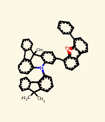 CC1(C)c2ccccc2-c2c(N3c4cc(-c5cccc6c5oc5c(-c7ccccc7)cccc56)ccc4C4(C)c5ccccc5-c5cccc3c54)cccc21